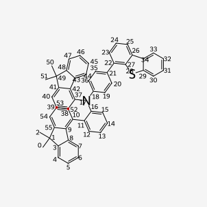 CC1(C)c2ccccc2-c2c(-c3ccccc3N(c3ccc(-c4cccc5c4sc4ccccc45)cc3)c3cccc4c3-c3ccccc3C4(C)C)cccc21